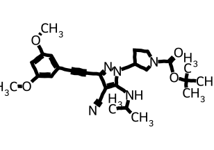 COc1cc(C#Cc2nn(C3CCN(C(=O)OC(C)(C)C)C3)c(NC(C)C)c2C#N)cc(OC)c1